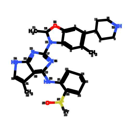 Cc1cc2c(cc1C1CCNCC1)OC(C)N2c1nc(Nc2ccccc2[S+]([O-])C(C)C)c2c(C)c[nH]c2n1